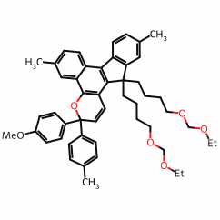 CCOCOCCCCC1(CCCCOCOCC)c2cc(C)ccc2-c2c1c1c(c3cc(C)ccc23)OC(c2ccc(C)cc2)(c2ccc(OC)cc2)C=C1